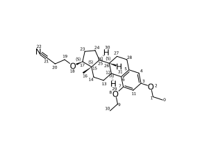 CCOc1cc2c(c(OCC)c1)[C@H]1CC[C@]3(C)[C@@H](OCCC#N)CC[C@H]3[C@@H]1CC2